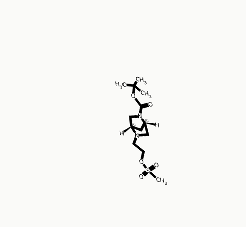 CC(C)(C)OC(=O)N1C[C@@H]2C[C@H]1CN2CCOS(C)(=O)=O